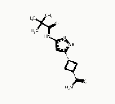 CC(C)(C)C(=O)Nc1cc([C@H]2C[C@@H](C(N)=O)C2)[nH]n1